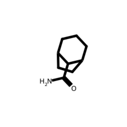 NC(=O)C1C2CCCC1CC2